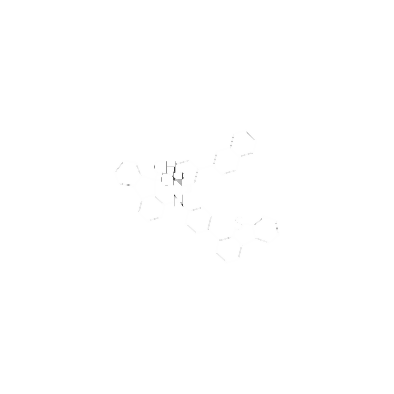 CC1(C)c2ccccc2-c2cccc(N(c3ccc(-c4cccc5c4sc4ccccc45)cc3)c3cccc(-c4ccc5ccccc5c4)c3)c21